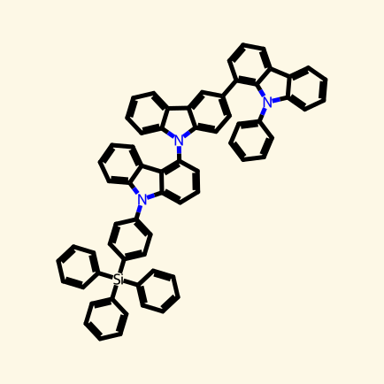 c1ccc(-n2c3ccccc3c3cccc(-c4ccc5c(c4)c4ccccc4n5-c4cccc5c4c4ccccc4n5-c4ccc([Si](c5ccccc5)(c5ccccc5)c5ccccc5)cc4)c32)cc1